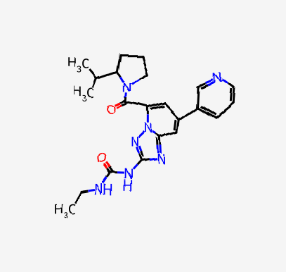 CCNC(=O)Nc1nc2cc(-c3cccnc3)cc(C(=O)N3CCCC3C(C)C)n2n1